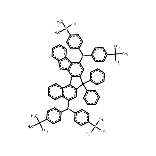 CC(C)(C)c1ccc(N(c2ccc([Si](C)(C)C)cc2)c2cc3c(c4ccccc24)-c2c(cc(N(c4ccc(C(C)(C)C)cc4)c4ccc([Si](C)(C)C)cc4)c4c2oc2ccccc24)C3(c2ccccc2)c2ccccc2)cc1